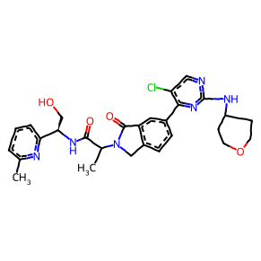 Cc1cccc([C@@H](CO)NC(=O)C(C)N2Cc3ccc(-c4nc(NC5CCOCC5)ncc4Cl)cc3C2=O)n1